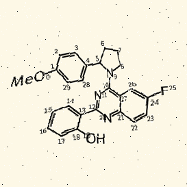 COc1ccc(C2CCCN2c2nc(-c3ccccc3O)nc3ccc(F)cc23)cc1